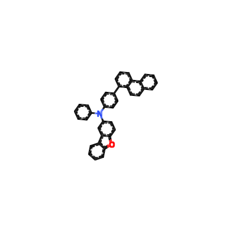 c1ccc(N(c2ccc(-c3cccc4c3ccc3ccccc34)cc2)c2ccc3oc4ccccc4c3c2)cc1